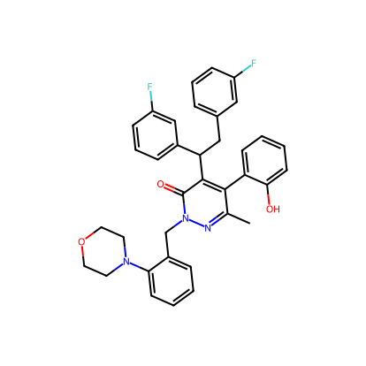 Cc1nn(Cc2ccccc2N2CCOCC2)c(=O)c(C(Cc2cccc(F)c2)c2cccc(F)c2)c1-c1ccccc1O